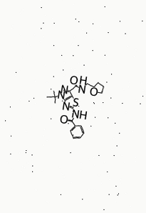 CC(C)(C)n1nc(C(=O)NCC2CCCO2)c2sc(NC(=O)c3ccccc3)nc21